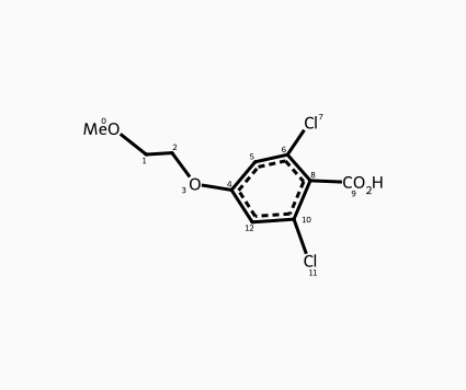 COCCOc1cc(Cl)c(C(=O)O)c(Cl)c1